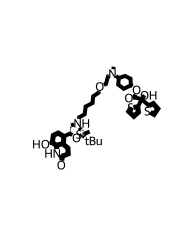 CN(CCOCCCCCCNC[C@H](O[Si](C)(C)C(C)(C)C)c1ccc(O)c2[nH]c(=O)ccc12)C1CCC(OC(=O)C(O)(c2cccs2)c2cccs2)CC1